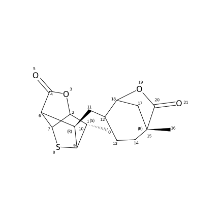 C[C@H]1C2OC(=O)C3C2SC1[C@@H]3CC1CC[C@]2(C)CC1OC2=O